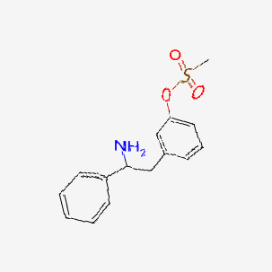 CS(=O)(=O)Oc1cccc(CC(N)c2ccccc2)c1